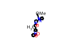 COCCCn1c([C@@H]2CCCN(C(=O)C[C@H](C)Cc3ccc(-n4c(=O)oc5ccccc54)cc3)C2)nc2ccccc21